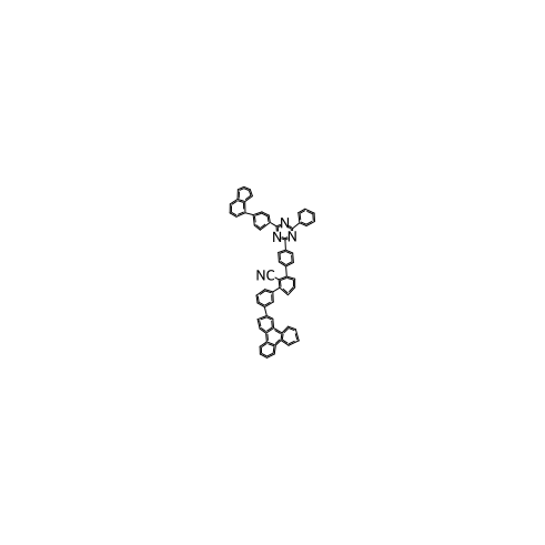 N#Cc1c(-c2ccc(-c3nc(-c4ccccc4)nc(-c4ccc(-c5cccc6ccccc56)cc4)n3)cc2)cccc1-c1cccc(-c2ccc3c4ccccc4c4ccccc4c3c2)c1